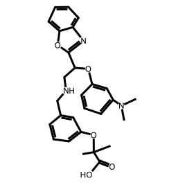 CN(C)c1cccc(OC(CNCc2cccc(OC(C)(C)C(=O)O)c2)c2nc3ccccc3o2)c1